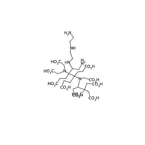 NCCNCCNC(CN)C(CCC(=O)O)(N(CC(=O)O)CC(=O)O)C(CCC(=O)O)(CCC(=O)O)N(CC(=O)O)C(CC(=O)O)C(CC(=O)O)(CC(=O)O)C(=O)O